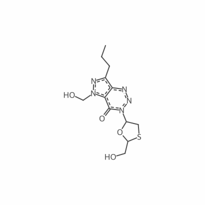 CCCc1nn(CO)c2c(=O)n(C3CSC(CO)O3)nnc12